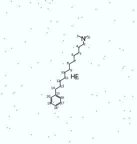 CN(C)CCCCCCCCCCCCc1ccccc1.F